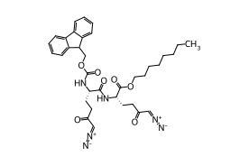 CCCCCCCCOC(=O)[C@H](CCC(=O)C=[N+]=[N-])NC(=O)[C@H](CCC(=O)C=[N+]=[N-])NC(=O)OCC1c2ccccc2-c2ccccc21